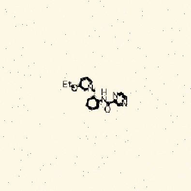 CCO[C@@H]1CCCN(C[C@H]2CCCC[C@@H]2NC(=O)c2cnccn2)C1